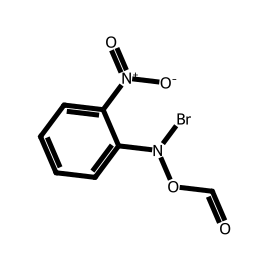 O=CON(Br)c1ccccc1[N+](=O)[O-]